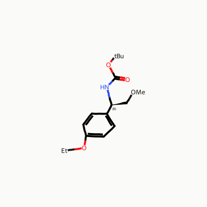 CCOc1ccc([C@H](COC)NC(=O)OC(C)(C)C)cc1